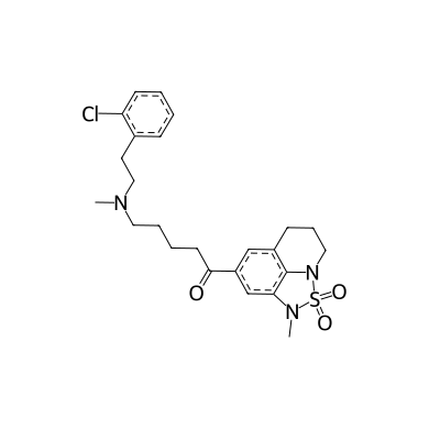 CN(CCCCC(=O)c1cc2c3c(c1)N(C)S(=O)(=O)N3CCC2)CCc1ccccc1Cl